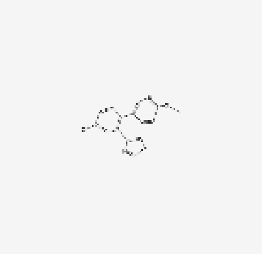 COc1ccc(-c2ccc(Cl)cc2-c2cs[c]n2)cn1